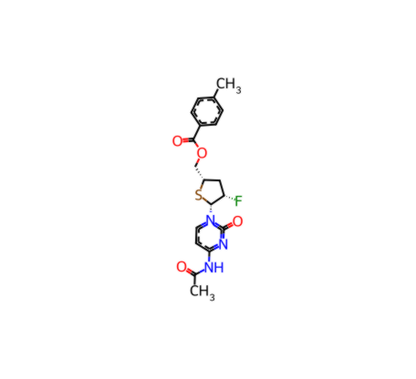 CC(=O)Nc1ccn([C@@H]2S[C@H](COC(=O)c3ccc(C)cc3)C[C@@H]2F)c(=O)n1